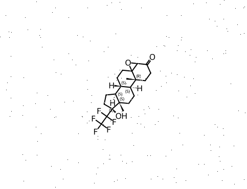 C[C@]12CC[C@H]3[C@@H](CCC45OC4C(=O)CC[C@]35C)[C@@H]1CC[C@@]2(O)C(F)(F)C(F)(F)F